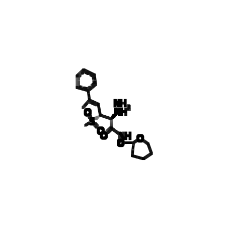 C/C(=C\[C@H]([C@@H](NN)C(=O)NOC1CCCCO1)S(C)(=O)=O)c1ccccc1